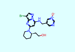 [O-][n+]1cncc(CNc2cc(N3CCCC[C@@H]3CCO)nc3c(Br)cnn23)c1